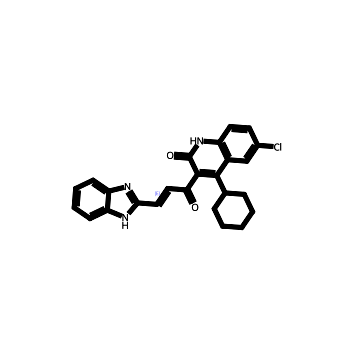 O=C(/C=C/c1nc2ccccc2[nH]1)c1c(C2CCCCC2)c2cc(Cl)ccc2[nH]c1=O